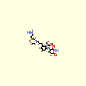 CNCC[C@@H]1CN(CCCc2cccc3c2n(C)c(=O)n3C2CCC(=O)NC2=O)CCO1